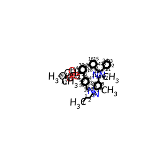 CCCc1nc2c(C)cc(-c3nc(-c4ccccc4)c(-c4ccccc4)n3C)cc2n1Cc1ccc(-c2ccccc2OC(=O)OC(C)(C)C)cc1